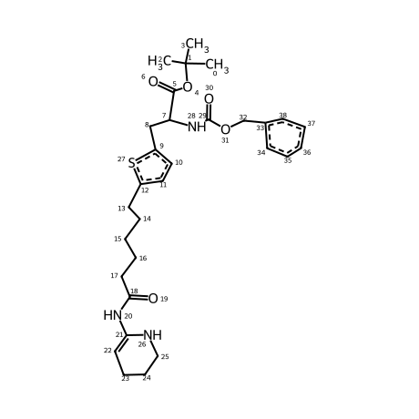 CC(C)(C)OC(=O)C(Cc1ccc(CCCCCC(=O)NC2=CCCCN2)s1)NC(=O)OCc1ccccc1